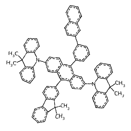 CC1(C)c2ccccc2-c2ccc(-c3c4ccc(N5c6ccccc6C(C)(C)c6ccccc65)cc4c(-c4cccc(-c5ccc6ccccc6c5)c4)c4ccc(N5c6ccccc6C(C)(C)c6ccccc65)cc34)cc21